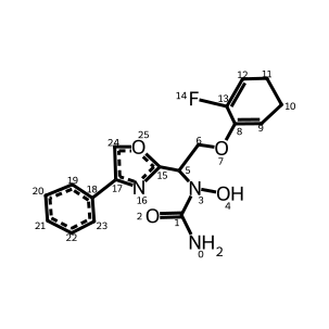 NC(=O)N(O)C(COC1=CCCC=C1F)c1nc(-c2ccccc2)co1